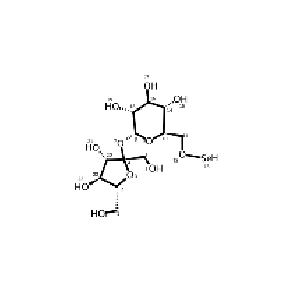 OC[C@H]1O[C@@](CO)(O[C@H]2O[C@H](CO[SeH])[C@@H](O)[C@H](O)[C@H]2O)[C@@H](O)[C@@H]1O